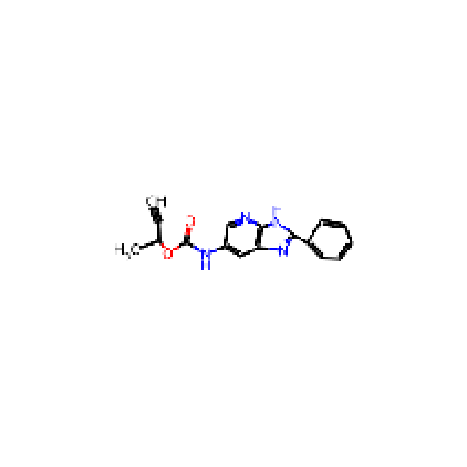 C#CC(C)OC(=O)Nc1cnc2[nH]c(-c3ccccc3)nc2c1